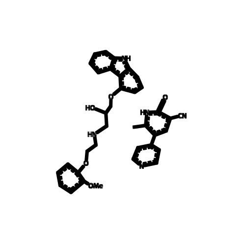 COc1ccccc1OCCNCC(O)COc1cccc2[nH]c3ccccc3c12.Cc1[nH]c(=O)c(C#N)cc1-c1ccncc1